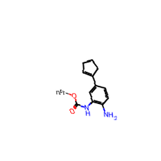 CCCOC(=O)Nc1cc(C2=CCCC2)ccc1N